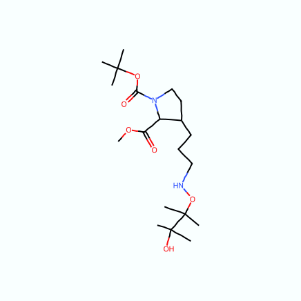 COC(=O)C1C(CCCNOC(C)(C)C(C)(C)O)CCN1C(=O)OC(C)(C)C